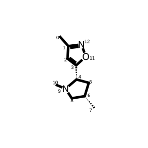 Cc1cc([C@@H]2C[C@H](C)CN2C)on1